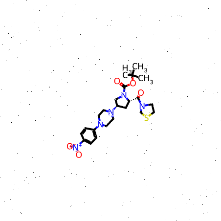 CC(C)(C)OC(=O)N1C[C@H](N2CCN(c3ccc([N+](=O)[O-])cc3)CC2)C[C@H]1C(=O)N1CCSC1